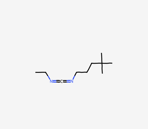 CCN=C=NCCCC(C)(C)C